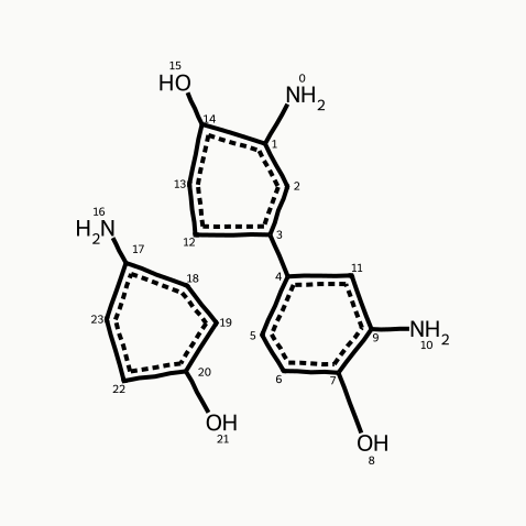 Nc1cc(-c2ccc(O)c(N)c2)ccc1O.Nc1ccc(O)cc1